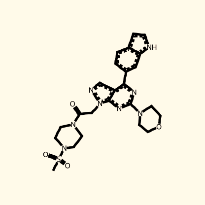 CS(=O)(=O)N1CCN(C(=O)Cn2ncc3c(-c4ccc5cc[nH]c5c4)nc(N4CCOCC4)nc32)CC1